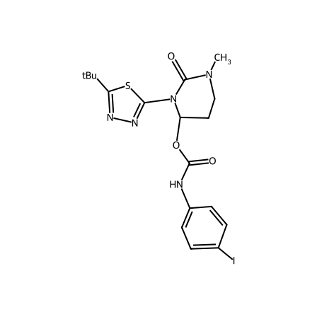 CN1CCC(OC(=O)Nc2ccc(I)cc2)N(c2nnc(C(C)(C)C)s2)C1=O